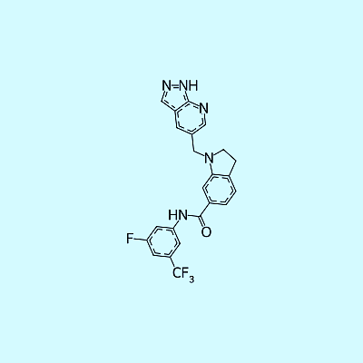 O=C(Nc1cc(F)cc(C(F)(F)F)c1)c1ccc2c(c1)N(Cc1cnc3[nH]ncc3c1)CC2